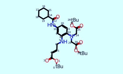 CC(C)(C)OC(=O)C=CCNc1cc(NC(=O)C2CCCCC2)ccc1N(CC(=O)OC(C)(C)C)CC(=O)OC(C)(C)C